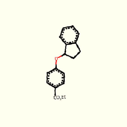 CCOC(=O)c1ccc(OC2CCc3ccccc32)cc1